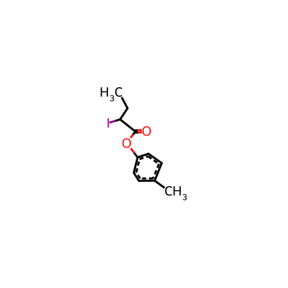 CCC(I)C(=O)Oc1ccc(C)cc1